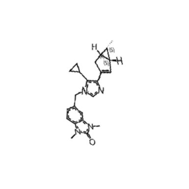 C[C@@H]1[C@@H]2C=C(c3ncn(Cc4ccc5c(c4)n(C)c(=O)n5C)c3C3CC3)C[C@H]12